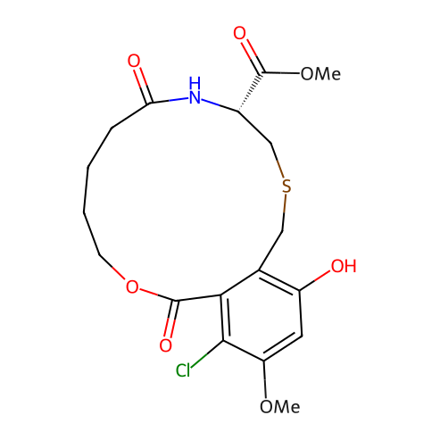 COC(=O)[C@@H]1CSCc2c(O)cc(OC)c(Cl)c2C(=O)OCCCCC(=O)N1